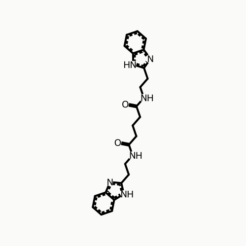 O=C(CCCC(=O)NCCc1nc2ccccc2[nH]1)NCCc1nc2ccccc2[nH]1